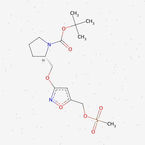 CC(C)(C)OC(=O)N1CCC[C@H]1COc1cc(COS(C)(=O)=O)on1